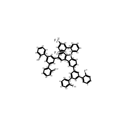 Fc1ccccc1-c1cc(-c2ccc3c(c2)c2cc(-c4cc(-c5ccccc5F)cc(-c5ccccc5F)c4)ccc2n3-c2ccccc2-c2cc(C(F)(F)F)cc(C(F)(F)F)c2)cc(-c2ccccc2F)c1